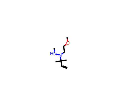 C=CC(C)(C)N(CCOC)NC